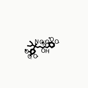 CCC(CC)C(C#N)(CCC(O)C(Cc1ccc(OC)c(OC)c1)[N+](=O)[O-])c1cc(OC)c(OC)c(OC)c1